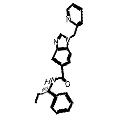 CC[C@@H](NC(=O)c1ccc2c(c1)ncn2Cc1ccccn1)c1ccccc1